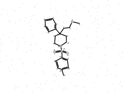 COCCC1(c2ccccc2)CCN(S(=O)(=O)c2ccc(C)cc2)CC1